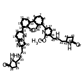 COc1nc(-c2cccc(-c3cccc(-c4ccc5nc(CNCC6CCC(=O)N6)cn5n4)c3Cl)c2Cl)ccc1CNCC1CCC(=O)N1